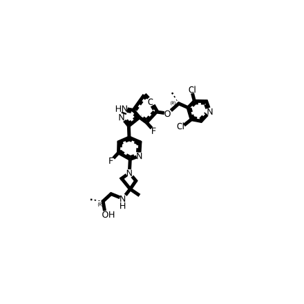 C[C@@H](O)CNC1(C)CN(c2ncc(-c3n[nH]c4ccc(O[C@H](C)c5c(Cl)cncc5Cl)c(F)c34)cc2F)C1